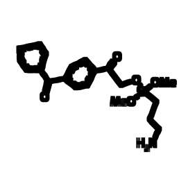 CO[Si](CCCN)(OC)OCC(=O)c1ccc(C(=O)c2ccccc2)cc1